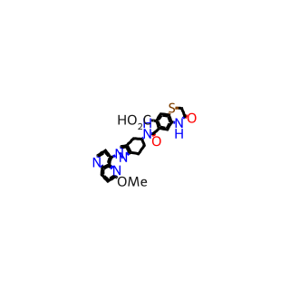 COc1ccc2nccc(-n3cc4c(n3)CCC(NC(=O)c3cc5c(cc3C(=O)O)SCC(=O)N5)C4)c2n1